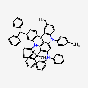 Cc1ccc(N2c3ccc(C)cc3B3c4ccc(C(c5ccccc5)c5ccccc5)cc4N(c4ccccc4)c4c3c2cc(N(c2ccccc2)c2ccccc2)c4[Si](C)(C)c2ccccc2)cc1